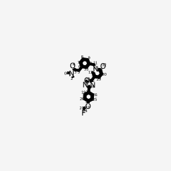 CN(C)C(=O)Cc1cccc(Cn2cc(-c3nc(-c4ccc(OCF)cc4)no3)ccc2=O)c1